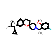 C[C@H](C(=O)O)[C@H](c1ccc2c(c1)OC1(CC2)CCN([C@@H](C)c2cc(F)ccc2OC(F)(F)F)CC1)C1CC1